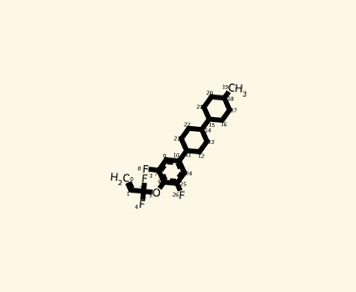 C=CC(F)(F)Oc1c(F)cc(C2CCC(C3CCC(C)CC3)CC2)cc1F